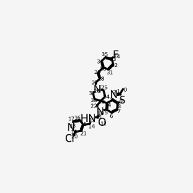 Cc1nc2c3c(ccc2s1)N(C(=O)NCc1ccnc(Cl)c1)CC31CCN(C/C=C/c2ccc(F)cc2)CC1